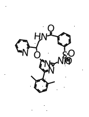 Cc1cccc(C)c1-c1cc2nc(n1)NS(=O)(=O)c1cccc(c1)C(=O)NCC(c1ccccn1)O2